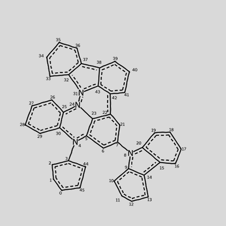 c1ccc(-n2c3cc(-n4c5ccccc5c5ccccc54)cc4c3-n(c3ccccc32)n2c3ccccc3c3cccc4c32)cc1